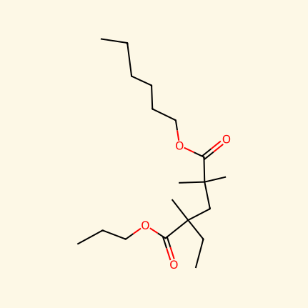 CCCCCCOC(=O)C(C)(C)CC(C)(CC)C(=O)OCCC